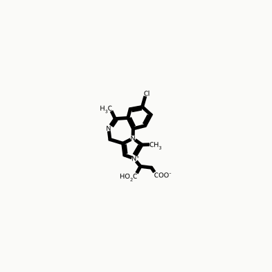 CC1=NCc2c[n+](C(CC(=O)[O-])C(=O)O)c(C)n2-c2ccc(Cl)cc21